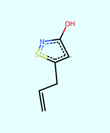 C=CCc1[c]c(O)ns1